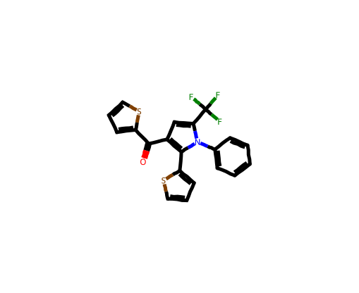 O=C(c1cccs1)c1cc(C(F)(F)F)n(-c2ccccc2)c1-c1cccs1